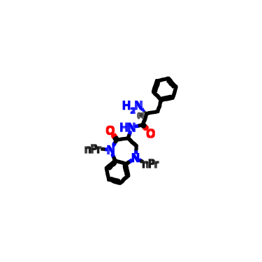 CCCN1CC(NC(=O)[C@H](N)Cc2ccccc2)C(=O)N(CCC)c2ccccc21